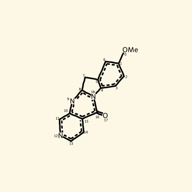 COc1ccc2c(c1)Cc1nc3cnccc3c(=O)n1-2